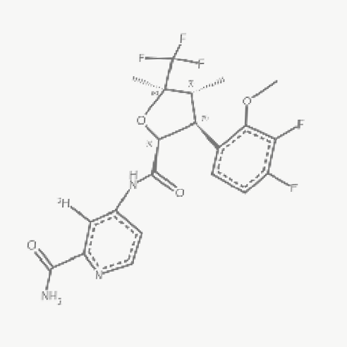 [2H]c1c(NC(=O)[C@H]2O[C@@](C)(C(F)(F)F)[C@H](C)[C@H]2c2ccc(F)c(F)c2OC)ccnc1C(N)=O